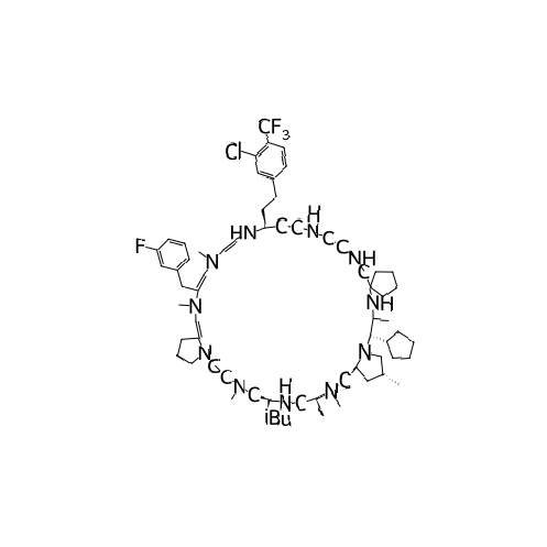 CC[C@H](C)[C@H]1CN(C)CCN2CCCC2=CN(C)C(Cc2cccc(F)c2)=CN(C)C=CN[C@@H](CCc2ccc(C(F)(F)F)c(Cl)c2)CCNCCNCC2(CCCC2)NC(C)[C@H](C2CCCC2)N2C[C@H](C)CC2CN(C)[C@@H](C)CN1